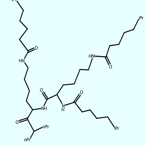 CCCC(CCC)C(=O)C(CCCCNC(=O)CCCCC(C)C)NC(=O)C(CCCCNC(=O)CCCCC(C)C)NC(=O)CCCCC(C)C